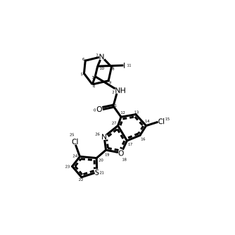 O=C(NC1C2CCN(CC2)C1I)c1cc(Cl)cc2oc(-c3sccc3Cl)nc12